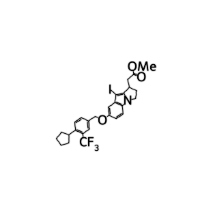 COC(=O)CC1CCn2c1c(I)c1cc(OCc3ccc(C4CCCC4)c(C(F)(F)F)c3)ccc12